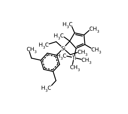 CCc1cc(CC)cc([Si](CC)(CC)C2(C)C(C)=C(C)C(C)=[C]2[Ti]([CH3])([CH3])[CH3])c1